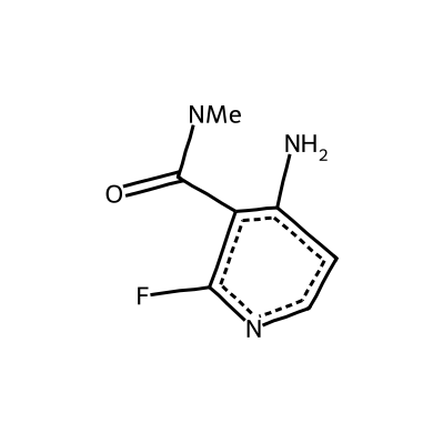 CNC(=O)c1c(N)ccnc1F